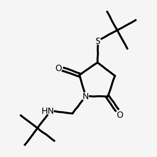 CC(C)(C)NCN1C(=O)CC(SC(C)(C)C)C1=O